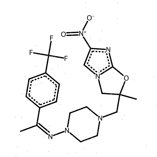 CC(=NN1CCN(CC2(C)Cn3cc([N+](=O)[O-])nc3O2)CC1)c1ccc(C(F)(F)F)cc1